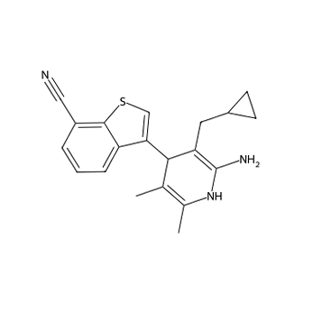 CC1=C(C)C(c2csc3c(C#N)cccc23)C(CC2CC2)=C(N)N1